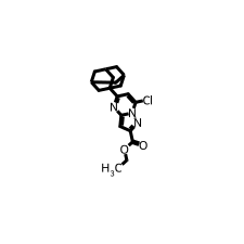 CCOC(=O)c1cc2nc(C34CC5CC(CC(C5)C3)C4)cc(Cl)n2n1